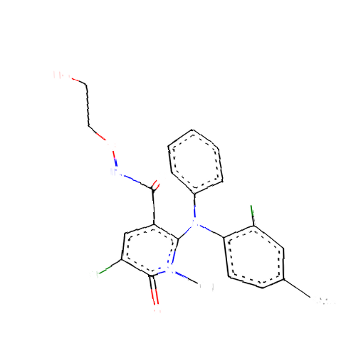 CSc1ccc(N(c2ccccc2)c2c(C(=O)NOCCO)cc(Cl)c(=O)n2C)c(F)c1